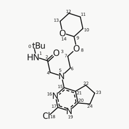 CC(C)(C)NC(=O)CN(CCOC1CCCCO1)c1nc(Cl)nc2c1CCC2